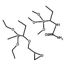 CCC(NC(N)=O)[Si](OC)(OC)OC.CCO[Si](C)(OCC)C(CC)OCC1CO1